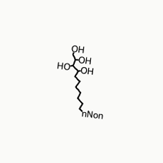 CCCCCCCCCCCCCCCCC(O)C(O)C(O)CO